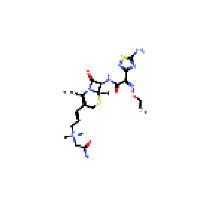 C[N+](C)(C/C=C/C1=C(C(=O)[O-])N2C(=O)[C@@H](NC(=O)/C(=N\OCC(F)(F)F)c3nsc(N)n3)[C@@H]2SC1)CC(N)=O